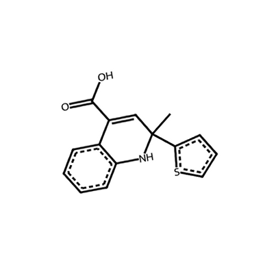 CC1(c2cccs2)C=C(C(=O)O)c2ccccc2N1